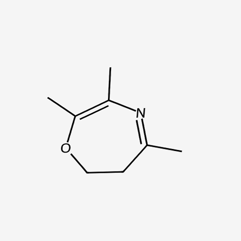 CC1=NC(C)=C(C)OCC1